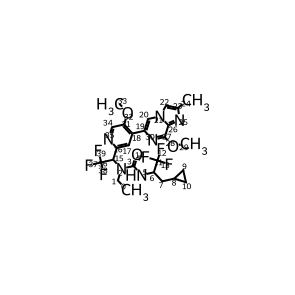 CCN(C(=O)NC(CC1CC1)C(F)(F)F)C(c1cc(-c2cn3cc(C)nc3c(OC)n2)c(OC)cn1)C(F)(F)F